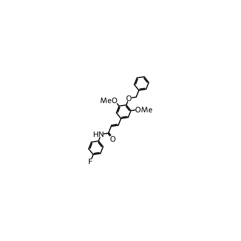 COc1cc(/C=C/C(=O)Nc2ccc(F)cc2)cc(OC)c1OCc1ccccc1